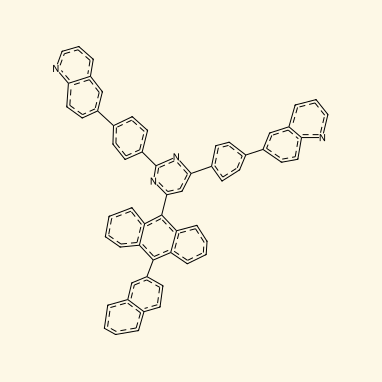 c1ccc2cc(-c3c4ccccc4c(-c4cc(-c5ccc(-c6ccc7ncccc7c6)cc5)nc(-c5ccc(-c6ccc7ncccc7c6)cc5)n4)c4ccccc34)ccc2c1